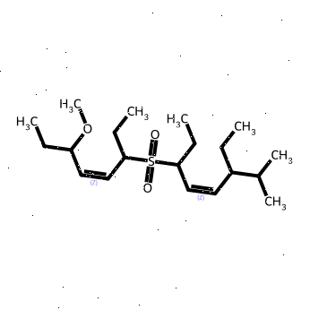 CCC(/C=C\C(CC)S(=O)(=O)C(/C=C\C(CC)C(C)C)CC)OC